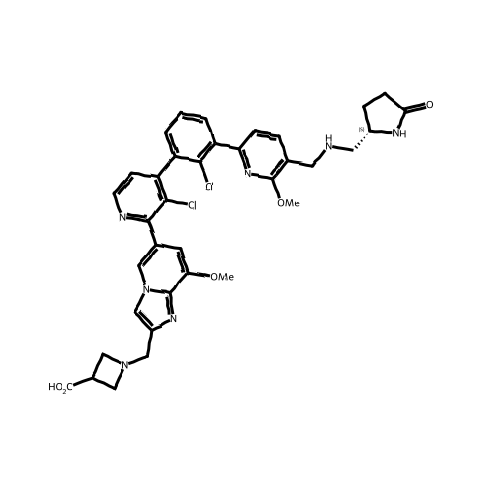 COc1nc(-c2cccc(-c3ccnc(-c4cc(OC)c5nc(CN6CC(C(=O)O)C6)cn5c4)c3Cl)c2Cl)ccc1CNC[C@@H]1CCC(=O)N1